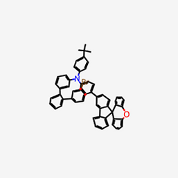 CC(C)(C)c1ccc(N(c2ccc(-c3ccc4c(c3)-c3ccccc3C43c4ccccc4Oc4ccccc43)cc2)c2cccc(-c3ccccc3-c3cccc(Br)c3)c2)cc1